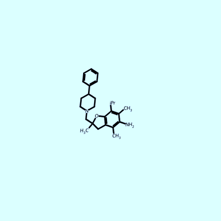 Cc1c(N)c(C)c(C(C)C)c2c1CC(C)(CN1CCC(c3ccccc3)CC1)O2